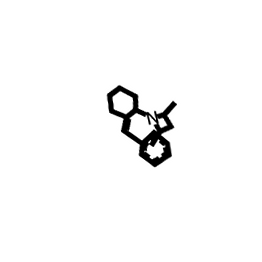 CC1CC(C)N1C1CCCC/C1=C/c1ccccc1